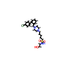 O=S(=O)(CCCCCN1CCN(Cc2ccccc2-c2ccc(Cl)cc2)CC1)NCCO